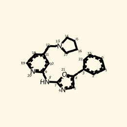 c1ccc(-c2cnc(Nc3cc(CN4CCCC4)ccn3)o2)cc1